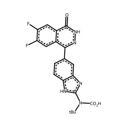 CC(C)(C)N(C(=O)O)c1nc2cc(-c3n[nH]c(=O)c4cc(F)c(F)cc34)ccc2[nH]1